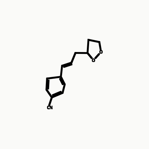 N#Cc1ccc(C=CCC2CCOO2)cc1